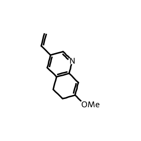 C=Cc1cnc2c(c1)CCC(OC)=C2